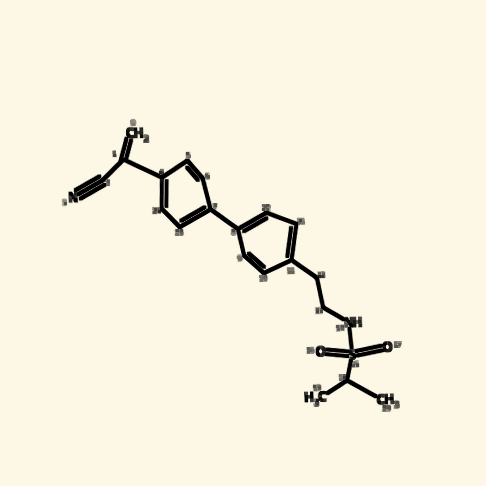 C=C(C#N)c1ccc(-c2ccc(CCNS(=O)(=O)C(C)C)cc2)cc1